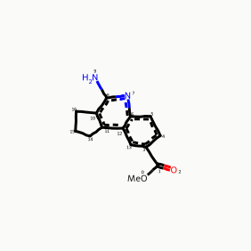 COC(=O)c1ccc2nc(N)c3c(c2c1)CCC3